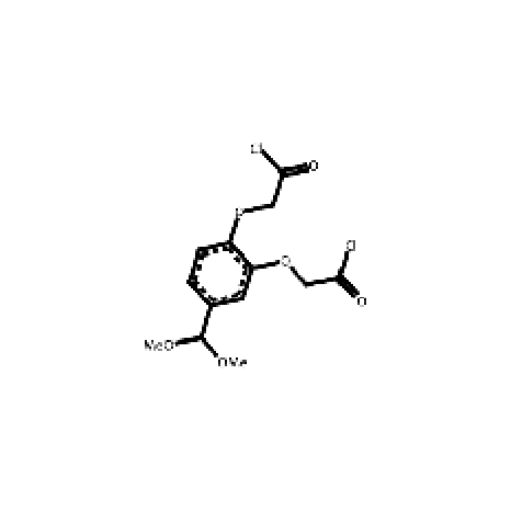 COC(OC)c1ccc(OCC(=O)Cl)c(OCC(=O)Cl)c1